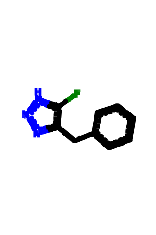 Fc1[nH]nnc1Cc1ccccc1